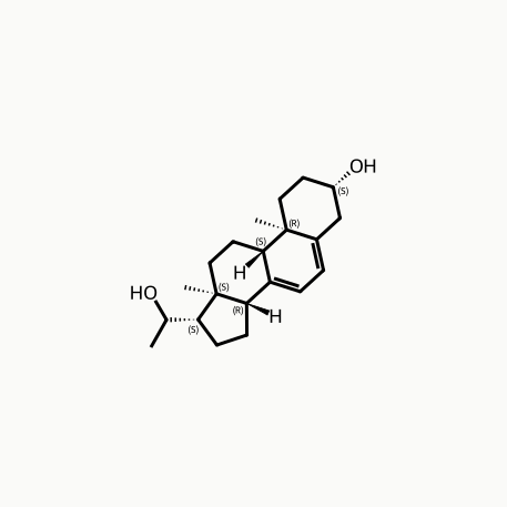 CC(O)[C@H]1CC[C@H]2C3=CC=C4C[C@@H](O)CC[C@]4(C)[C@H]3CC[C@]12C